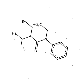 CC(C)CC(C(=O)N(CC(=O)O)c1ccccc1)C(C)S